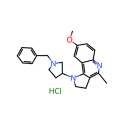 COc1ccc2nc(C)c3c(c2c1)N(C1CCN(Cc2ccccc2)C1)CC3.Cl